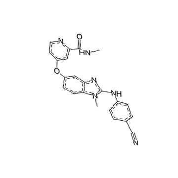 CNC(=O)c1cc(Oc2ccc3c(c2)nc(Nc2ccc(C#N)cc2)n3C)ccn1